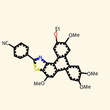 CCOc1cc2c(cc1OC)c1cc(OC)c(OC)cc1c1cc(OC)c3sc(-c4ccc(C#N)cc4)nc3c21